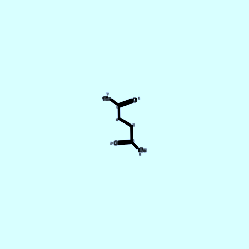 CC(C)(C)C(=O)CCC(=O)C(C)(C)C